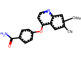 COc1cc2nccc(Oc3ccc(C(N)=O)cc3)c2cc1C#N